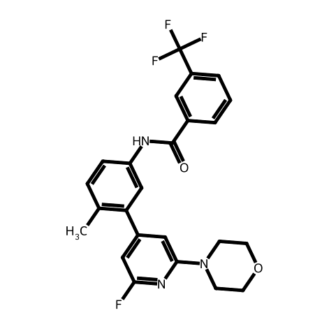 Cc1ccc(NC(=O)c2cccc(C(F)(F)F)c2)cc1-c1cc(F)nc(N2CCOCC2)c1